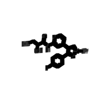 CC(C)n1cc(-c2ccnc(NC(=O)C(O)CO)c2)c(-c2ccc(F)cc2)n1